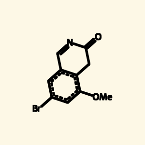 COc1cc(Br)cc2c1CC(=O)N=C2